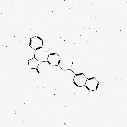 C[C@H](Nc1nccc(N2C(=O)OCC2c2ccccc2)n1)c1ccc2ccccc2c1